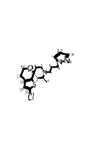 C[C@H]1C[C@@]2(CCN1CCCn1cccn1)OCCc1cc(Cl)sc12